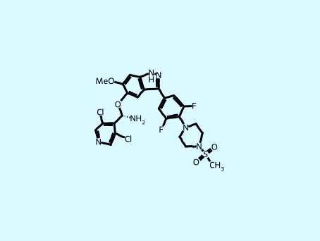 COc1cc2[nH]nc(-c3cc(F)c(N4CCN(S(C)(=O)=O)CC4)c(F)c3)c2cc1O[C@H](N)c1c(Cl)cncc1Cl